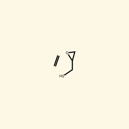 C=C.SCC1CO1